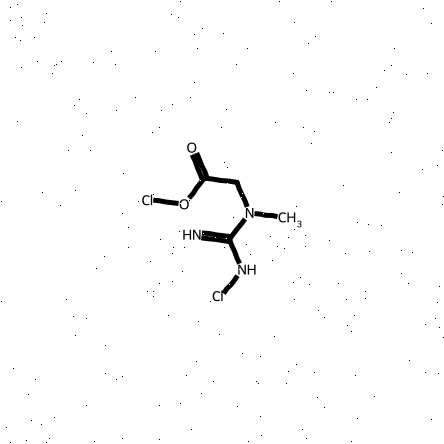 CN(CC(=O)OCl)C(=N)NCl